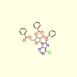 Cc1nc2c(Cl)ncnc2n1C1OC(COC(=O)c2ccccc2)C(OC(=O)c2ccccc2)C1OC(=O)c1ccccc1